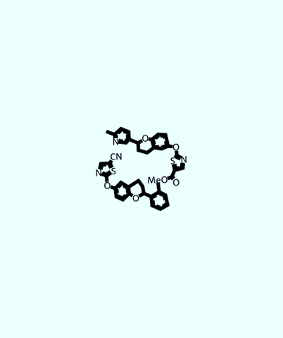 COC(=O)c1cnc(Oc2ccc3c(c2)CCC(c2ccc(C)nc2)O3)s1.Cc1ccccc1C1CCc2cc(Oc3ncc(C#N)s3)ccc2O1